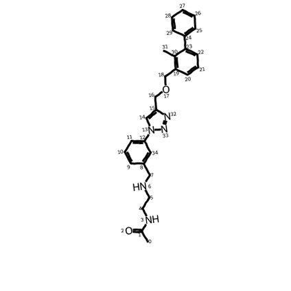 CC(=O)NCCNCc1cccc(-n2cc(COCc3cccc(-c4ccccc4)c3C)nn2)c1